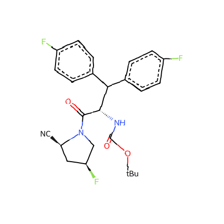 CC(C)(C)OC(=O)N[C@H](C(=O)N1C[C@@H](F)C[C@H]1C#N)C(c1ccc(F)cc1)c1ccc(F)cc1